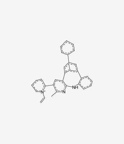 C=C[n+]1ccccc1-c1cc2c(nc1C)Nc1ccccc1-c1cc(-c3ccccc3)cc-2c1C